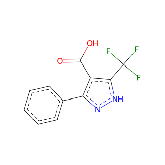 O=C(O)c1c(-c2ccccc2)n[nH]c1C(F)(F)F